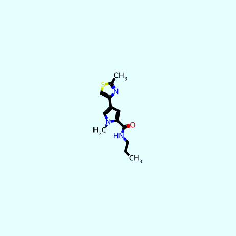 CCCNC(=O)c1cc(-c2csc(C)n2)cn1C